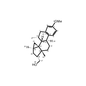 COc1ccc2c(c1)C[C@@H](C)[C@@H]1[C@@H]2CC[C@]2(C)[C@H](CO)C[C@H]3C[C@@]312